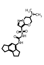 CN(C)C1COc2c(S(=O)(=O)NC(=O)Nc3cc4c(c5c3CCC5)CCC4)cnn2C1